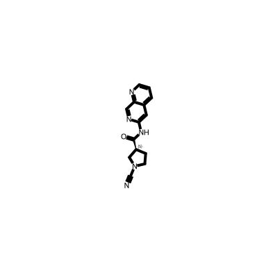 N#CN1CC[C@H](C(=O)Nc2cc3cccnc3cn2)C1